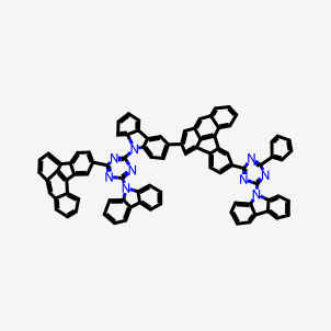 c1ccc(-c2nc(-c3ccc4c(c3)-c3c5ccccc5cc5cc(-c6ccc7c(c6)c6ccccc6n7-c6nc(-c7ccc8c(c7)-c7c9ccccc9cc9cccc-8c79)nc(-n7c8ccccc8c8ccccc87)n6)cc-4c35)nc(-n3c4ccccc4c4ccccc43)n2)cc1